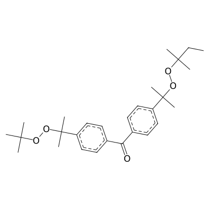 CCC(C)(C)OOC(C)(C)c1ccc(C(=O)c2ccc(C(C)(C)OOC(C)(C)C)cc2)cc1